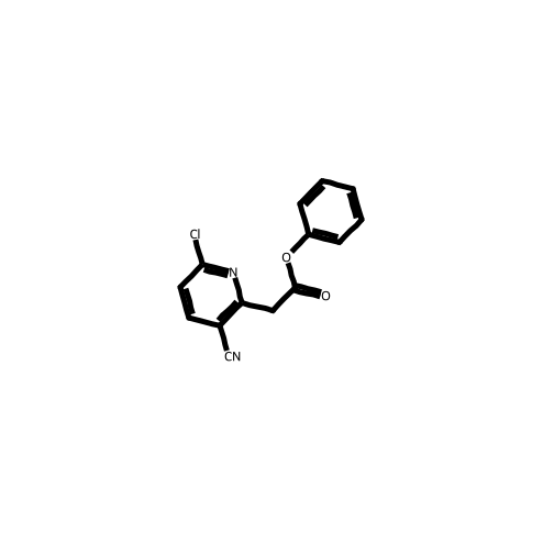 N#Cc1ccc(Cl)nc1CC(=O)Oc1ccccc1